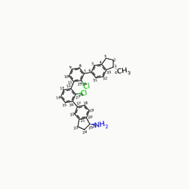 C[C@H]1CCc2cc(-c3cccc(-c4cccc(-c5ccc6c(c5)CC[C@@H]6N)c4Cl)c3Cl)ccc21